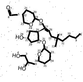 CC(O)CO.CC=O.CCCCC(C)(C)C/C=C(/OC1CCCCO1)[C@@H]1C[C@@H](O)C[C@H]1OC1CCCCO1